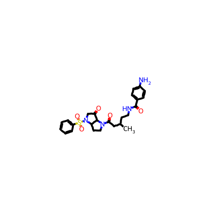 CC(CCNC(=O)c1ccc(N)cc1)CC(=O)N1CCC2C1C(=O)CN2S(=O)(=O)c1ccccc1